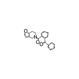 O=C(c1ccccc1)c1ccccc1C(=O)N1CCc2occc2C1